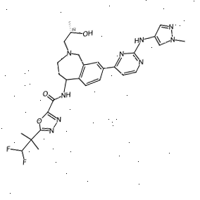 C[C@H](O)CN1CCC(NC(=O)c2nnc(C(C)(C)C(F)F)o2)c2ccc(-c3ccnc(Nc4cnn(C)c4)n3)cc2C1